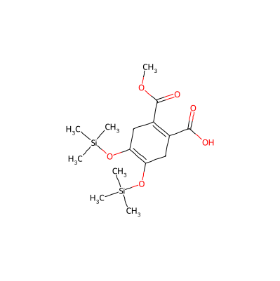 COC(=O)C1=C(C(=O)O)CC(O[Si](C)(C)C)=C(O[Si](C)(C)C)C1